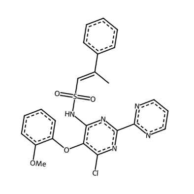 COc1ccccc1Oc1c(Cl)nc(-c2ncccn2)nc1NS(=O)(=O)C=C(C)c1ccccc1